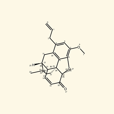 C=CCc1cc(OC)c2c3c1C[C@@H]1[C@@H]4C=CC(=O)[C@H](O2)[C@]34CCN1C